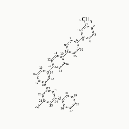 Cc1cccc(-c2ccc(-c3ccc(-c4cccc(-c5cc(I)cc(-c6ccccc6)c5)c4)cc3)cc2)c1